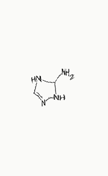 NC1NC=NN1